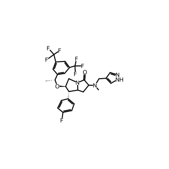 C[C@@H](O[C@H]1CN2C(=O)C(N(C)Cc3cn[nH]c3)CC2[C@@H]1c1ccc(F)cc1)c1cc(C(F)(F)F)cc(C(F)(F)F)c1